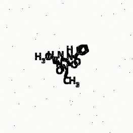 CCCn1c(N)c(NC(=O)C2CC3C=CC2C3)c(=O)n(CCC)c1=O